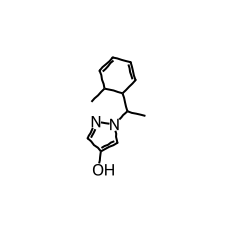 CC1C=CC=CC1C(C)n1cc(O)cn1